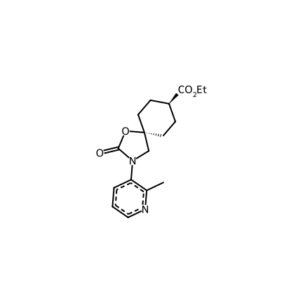 CCOC(=O)[C@H]1CC[C@]2(CC1)CN(c1cccnc1C)C(=O)O2